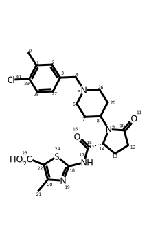 Cc1cc(CN2CCC(N3C(=O)CC[C@@H]3C(=O)Nc3nc(C)c(C(=O)O)s3)CC2)ccc1Cl